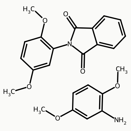 COc1ccc(OC)c(N)c1.COc1ccc(OC)c(N2C(=O)c3ccccc3C2=O)c1